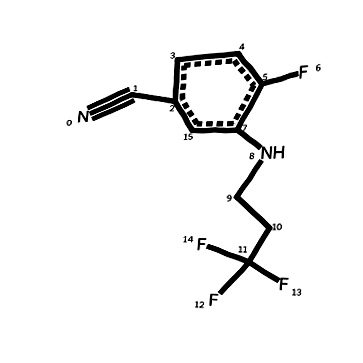 N#Cc1ccc(F)c(NCCC(F)(F)F)c1